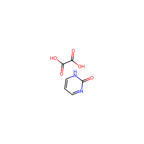 O=C(O)C(=O)O.O=c1nccc[nH]1